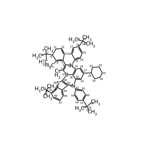 CC1=C(C2=C(C)C(C(C)(C)C)CC=C2)N(c2ccc(C(C)(C)C)cc2)c2cc(C3CCCCC3)cc3c2B1c1sc2c(C(C)(C)C)cccc2c1N3c1ccc(C(C)(C)C)cc1